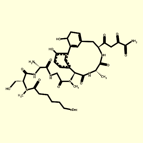 CCCCCCCCCCCCCCCC(=O)N(C)[C@H](CO)C(=O)N[C@H](N)C(=O)NCC(=O)N(C)[C@@H]1C(=O)N[C@@H](C)C(=O)N[C@H](C(=O)CC(=O)C(N)=O)CC2=CCC(O)C(=C2)c2cc1ccc2O